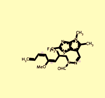 C=C/C=C\C(=C/C(C)CN(C=O)/N=C\c1c(C)n(C)c2nc(C(F)(F)F)sc12)OC